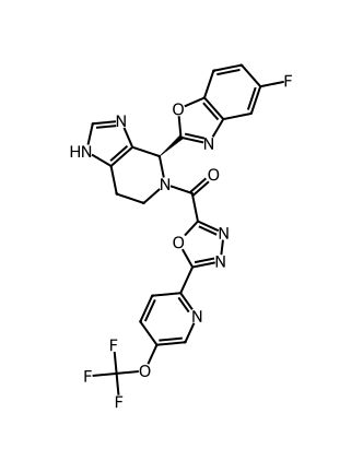 O=C(c1nnc(-c2ccc(OC(F)(F)F)cn2)o1)N1CCc2[nH]cnc2[C@H]1c1nc2cc(F)ccc2o1